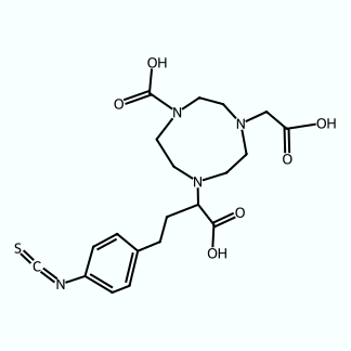 O=C(O)CN1CCN(C(=O)O)CCN(C(CCc2ccc(N=C=S)cc2)C(=O)O)CC1